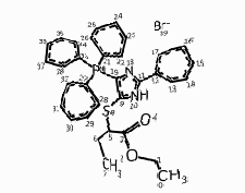 CCOC(=O)C(CC)Sc1[nH]c(-c2ccccc2)nc1[P+](c1ccccc1)(c1ccccc1)c1ccccc1.[Br-]